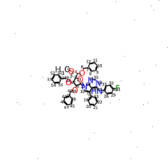 COC[C@]1(COCc2ccccc2)O[C@@H](n2cc(-c3ccccc3)c3c(Nc4ccc(F)cc4)ncnc32)[C@H](OCc2ccccc2)[C@@H]1OCc1ccccc1